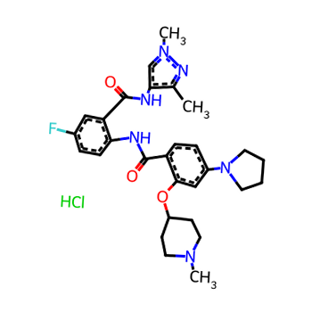 Cc1nn(C)cc1NC(=O)c1cc(F)ccc1NC(=O)c1ccc(N2CCCC2)cc1OC1CCN(C)CC1.Cl